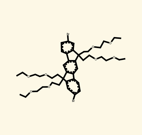 CCOCCOCCC1(CCOCCOCC)c2cc(Br)ccc2-c2cc3c(cc21)-c1ccc(Br)cc1C3(CCOCCOCC)CCOCCOCC